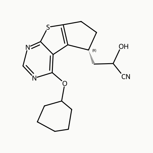 N#CC(O)C[C@H]1CCc2sc3ncnc(OC4CCCCC4)c3c21